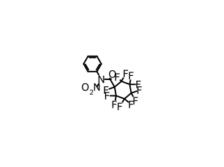 O=C(N(c1ccccc1)[N+](=O)[O-])C1(F)C(F)(F)C(F)(F)C(F)(F)C(F)(F)C1(F)F